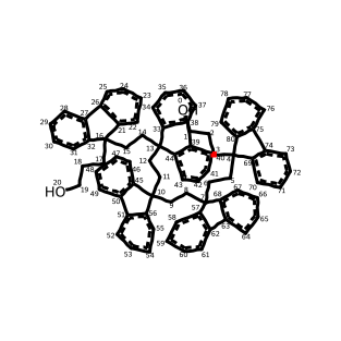 OCCCC1(CCC2(CCC3(CCC4(CCC5(CCCO)c6ccccc6-c6ccccc65)c5ccccc5-c5ccccc54)c4ccccc4-c4ccccc43)c3ccccc3-c3ccccc32)c2ccccc2-c2ccccc21